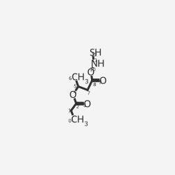 CCC(=O)OC(C)CC(=O)ONS